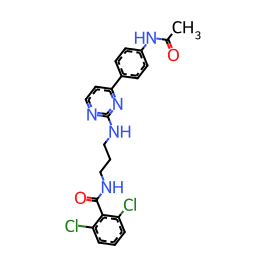 CC(=O)Nc1ccc(-c2ccnc(NCCCNC(=O)c3c(Cl)cccc3Cl)n2)cc1